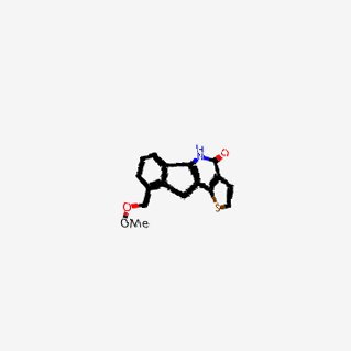 COOCc1cccc2c1Cc1c-2[nH]c(=O)c2ccsc12